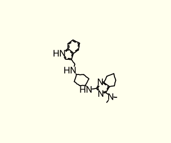 CN(C)c1nc(NC2CCC(NCc3c[nH]c4ccccc34)CC2)nc2c1CCCC2